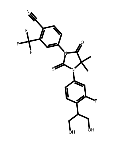 CC1(C)C(=O)N(c2ccc(C#N)c(C(F)(F)F)c2)C(=S)N1c1ccc(C(CO)CO)c(F)c1